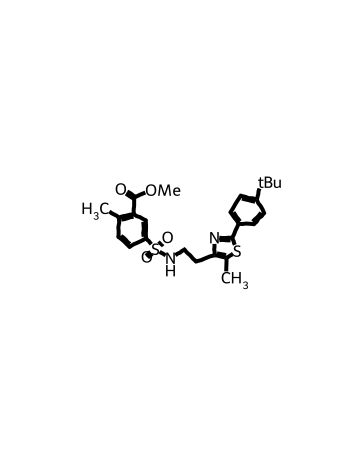 COC(=O)c1cc(S(=O)(=O)NCCc2nc(-c3ccc(C(C)(C)C)cc3)sc2C)ccc1C